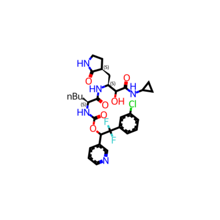 CCCC[C@H](NC(=O)OC(c1cccnc1)C(F)(F)c1cccc(Cl)c1)C(=O)N[C@@H](C[C@@H]1CCNC1=O)C(O)C(=O)NC1CC1